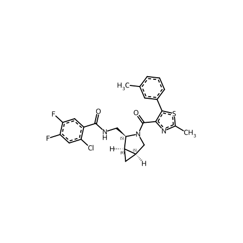 Cc1cccc(-c2sc(C)nc2C(=O)N2C[C@H]3C[C@H]3[C@H]2CNC(=O)c2cc(F)c(F)cc2Cl)c1